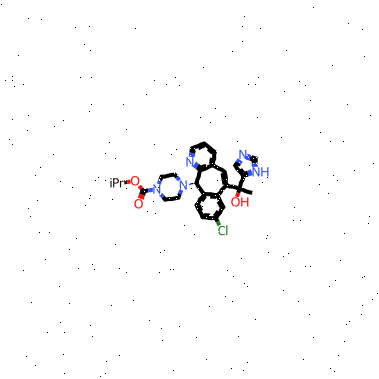 CC(C)OC(=O)N1CCN([C@H]2c3ccc(Cl)cc3C(C(C)(O)c3cnc[nH]3)=Cc3cccnc32)CC1